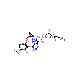 CCC(=O)NC1CCC(NC(=O)c2c(C)[nH]c3c(-c4c(OCC5CC5)ccc(C)c4F)ncnc23)CC1C